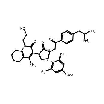 COc1cc(P)c([C@@H]2CN(c3c(C)c4c(n(CCO)c3=O)CCCC4)C(=O)[C@H]2CC(=O)c2ccc(OC(P)P)cc2)c(P)c1